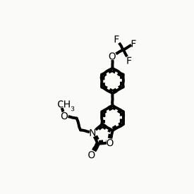 COCCn1c(=O)oc2ccc(-c3ccc(OC(F)(F)F)cc3)cc21